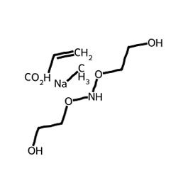 C=CC(=O)O.OCCONOCCO.[CH3][Na]